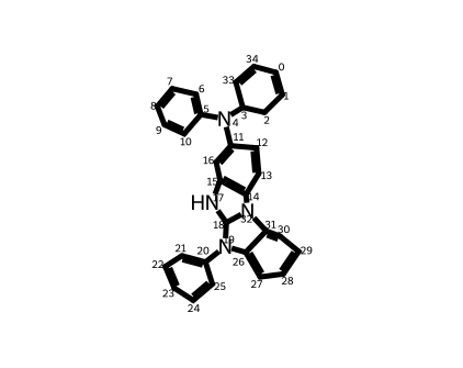 C1=CCC(N(c2ccccc2)c2ccc3c(c2)NC2N(c4ccccc4)c4ccccc4N32)C=C1